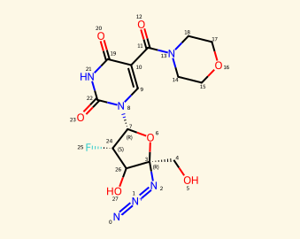 [N-]=[N+]=N[C@]1(CO)O[C@@H](n2cc(C(=O)N3CCOCC3)c(=O)[nH]c2=O)[C@@H](F)C1O